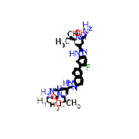 COC(=O)N[C@H](CC(CCCN)c1nc2ccc3cc(-c4cc5[nH]c(C(CCCN)C[C@@H](NO)C(C)C)nc5cc4F)ccc3c2[nH]1)C(C)C